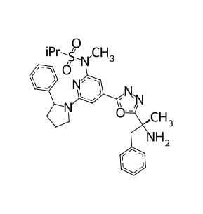 CC(C)S(=O)(=O)N(C)c1cc(-c2nnc([C@](C)(N)Cc3ccccc3)o2)cc(N2CCCC2c2ccccc2)n1